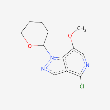 COc1cnc(Cl)c2cnn(C3CCCCO3)c12